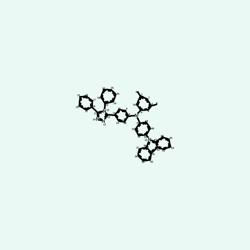 Cc1cc(C)cc(N(c2ccc(-c3nnc(-c4ccccc4)n3-c3ccccc3)cc2)c2ccc(-n3c4ccccc4c4ccccc43)cc2)c1